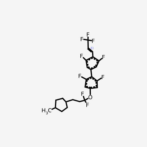 CC1CCC(CCC(F)(F)Oc2cc(F)c(-c3cc(F)c(/C=C/C(F)(F)F)c(F)c3)c(F)c2)CC1